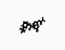 C=C(C)C(=O)OC1C2CC3C1OC(=O)C3C2C(=O)Oc1cccc(C(F)(F)F)c1